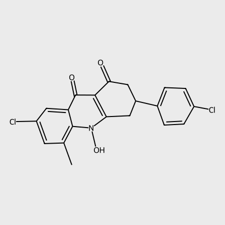 Cc1cc(Cl)cc2c(=O)c3c(n(O)c12)CC(c1ccc(Cl)cc1)CC3=O